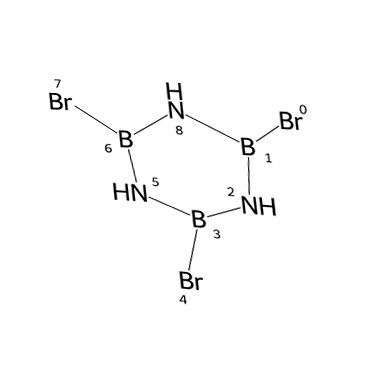 BrB1NB(Br)NB(Br)N1